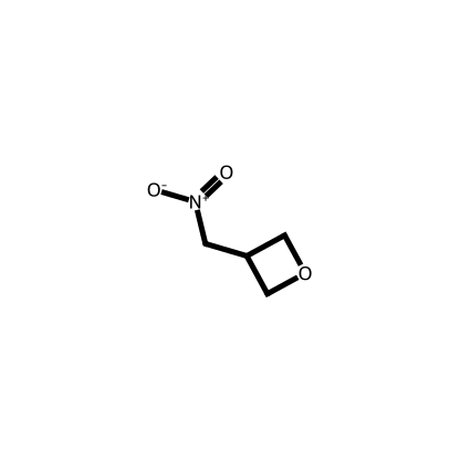 O=[N+]([O-])CC1COC1